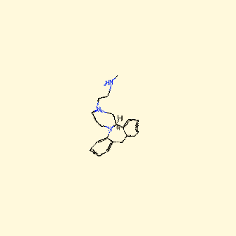 CNCCN1CCN2c3ccccc3Cc3ccccc3[C@@H]2C1